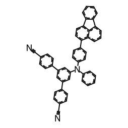 N#Cc1ccc(-c2cc(-c3ccc(C#N)cc3)cc(N(c3ccccc3)c3ccc(-c4ccc5c6c(cccc46)-c4ccccc4-5)cc3)c2)cc1